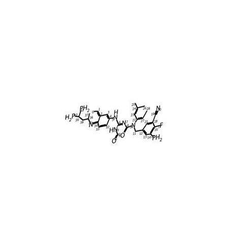 C/C=C1/C=C(N/C(=N/C(=O)N(Cc2cc(P)c(F)c(C#N)c2)/C(C=C(C)C)=C/C)NC=O)C=C/C1=N/C(C)CC(P)P